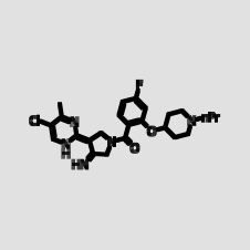 CCCN1CCC(Oc2cc(F)ccc2C(=O)N2CC(=N)/C(=C3/N=C(C)C(Cl)=CN3)C2)CC1